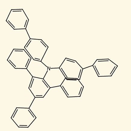 c1ccc(-c2ccc(N(c3ccc(-c4ccccc4)cc3)c3c(-c4ccccc4)cc(-c4ccccc4)cc3-c3ccccc3)cc2)cc1